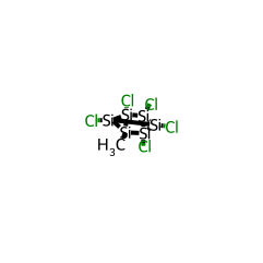 C[Si]12[Si]3(Cl)[Si]1(Cl)[Si]1(Cl)[Si]2(Cl)[Si]31Cl